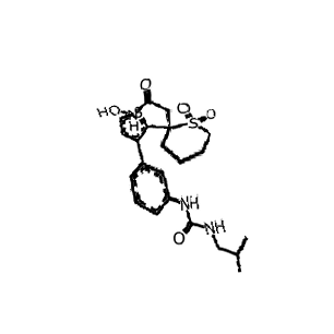 CC(C)CNC(=O)Nc1cccc(-c2ccsc2[C@@]2(CC(=O)NO)CCCCS2(=O)=O)c1